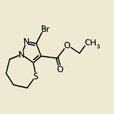 CCOC(=O)c1c(Br)nn2c1SCCCC2